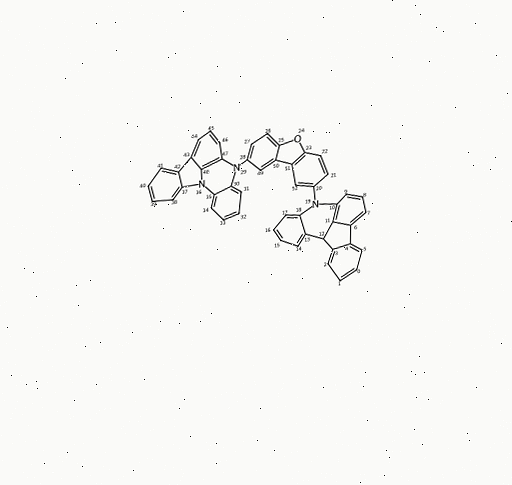 c1ccc2c(c1)-c1cccc3c1C2c1ccccc1N3c1ccc2oc3ccc(N4c5ccccc5-n5c6ccccc6c6cccc4c65)cc3c2c1